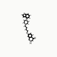 O=C1CNCc2cc(OCCCCN3CCN(c4cccc5sccc45)CC3)ccc21